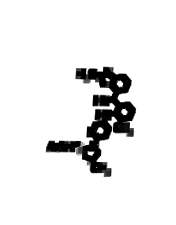 CC(=O)NC[C@H]1C[C@H](C)CN1c1ccc(Nc2c(C)cccc2C(=N)c2cccc3nn(C)cc23)cn1